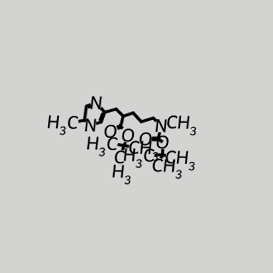 Cc1cnc(CC(CCCN(C)C(=O)OC(C)(C)C)C(=O)OC(C)(C)C)cn1